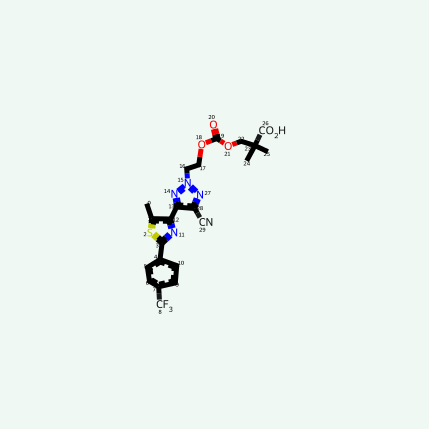 Cc1sc(-c2ccc(C(F)(F)F)cc2)nc1-c1nn(CCOC(=O)OCC(C)(C)C(=O)O)nc1C#N